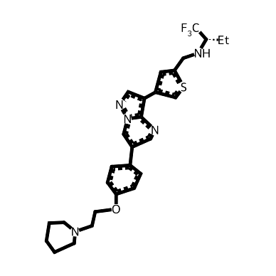 CC[C@H](NCc1cc(-c2cnn3cc(-c4ccc(OCCN5CCCCC5)cc4)cnc23)cs1)C(F)(F)F